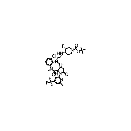 Cc1cc(C(F)(F)F)cc(N2C(=O)C[C@@H]3CN(CCN[C@H]4CCN(C(=O)OC(C)(C)C)C[C@H]4F)c4c(Cl)cccc4N(C)C(=O)[C@H]32)n1